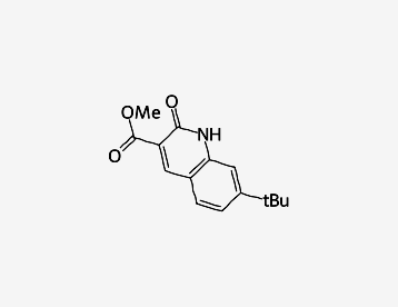 COC(=O)c1cc2ccc(C(C)(C)C)cc2[nH]c1=O